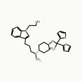 CN(CCCc1cn(CCO)c2ccccc12)[C@H]1CC[C@H](OC(C(=O)O)(c2cccs2)c2cccs2)CC1